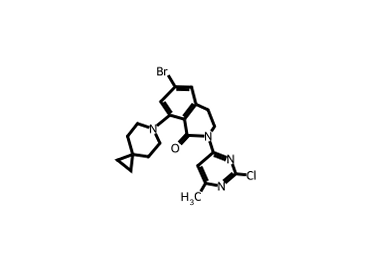 Cc1cc(N2CCc3cc(Br)cc(N4CCC5(CC4)CC5)c3C2=O)nc(Cl)n1